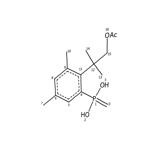 C=P(O)(O)c1cc(C)cc(C)c1C(C)(C)COC(C)=O